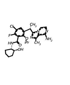 Cc1nc([C@@H](C)c2cc(Cl)c(F)c(C(=O)N[C@H]3CCCC[C@@H]3O)c2OC(C)C)n2ccnc(N)c12